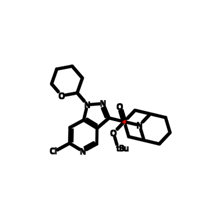 CC(C)(C)OC(=O)N1C2CCCC1CN(c1nn(C3CCCCO3)c3cc(Cl)ncc13)C2